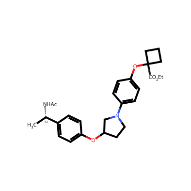 CCOC(=O)C1(Oc2ccc(N3CCC(Oc4ccc([C@H](C)NC(C)=O)cc4)C3)cc2)CCC1